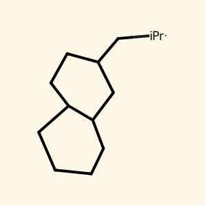 C[C](C)CC1CCC2CCCCC2C1